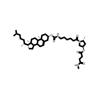 CNC(=O)CCC(=O)O[C@@H]1C[C@@H](C)N(C(=O)CCCCCNC(=O)O[C@H]2CC[C@@]3(C)C(=CCC4C3CC[C@@]3(C)C4CC[C@@H]3[C@H](C)CCCC(C)C)C2)C1